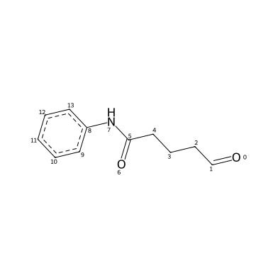 O=CCCCC(=O)Nc1ccccc1